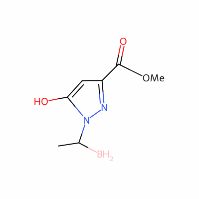 BC(C)n1nc(C(=O)OC)cc1O